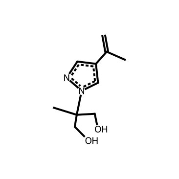 C=C(C)c1cnn(C(C)(CO)CO)c1